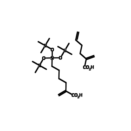 C=C(CCCC[Si](O[Si](C)(C)C)(O[Si](C)(C)C)O[Si](C)(C)C)C(=O)O.C=CCCC(=C)C(=O)O